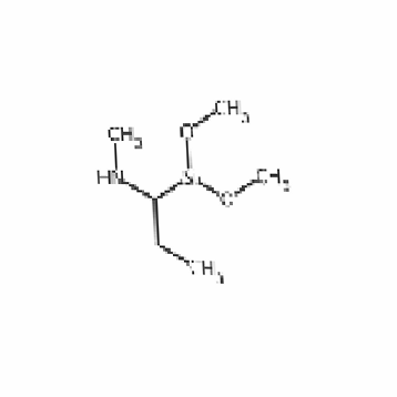 CCC(NC)[Si](OC)OC